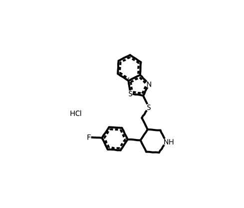 Cl.Fc1ccc(C2CCNCC2CSc2nc3ccccc3s2)cc1